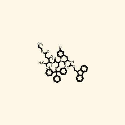 C=CCOC(=O)CC(O)C(NC(=O)C(CSC(c1ccccc1)(c1ccccc1)c1ccccc1)NC(=O)C(Cc1cccc(Cl)c1)NC(=O)OCC1c2ccccc2-c2ccccc21)C(C)C